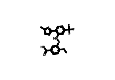 CCc1ccc(C(=O)O)cc1SNc1cc(C(F)(F)F)ccc1-c1ccc(C)s1